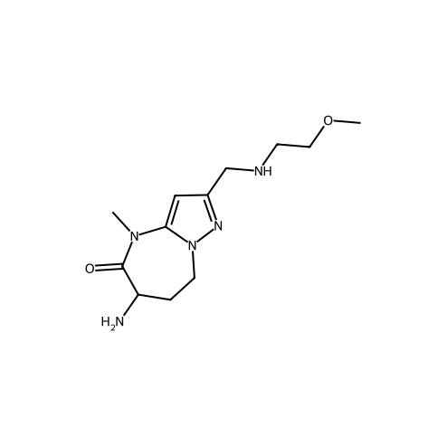 COCCNCc1cc2n(n1)CCC(N)C(=O)N2C